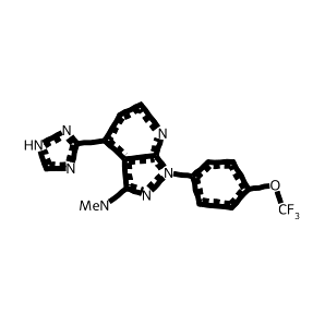 CNc1nn(-c2ccc(OC(F)(F)F)cc2)c2nccc(-c3nc[nH]n3)c12